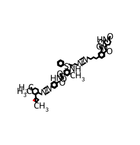 Cc1cc(S(=O)(=O)NC(=O)c2ccc(N3CCN(CC4=C(C56CC(C)(C5)C6)CC(C)(C)CC4)CC3)cc2)ccc1N[C@H](CCN1CCN(CCCCc2ccc3c(c2)C(=O)N(C2CCC(=O)NC2=O)C3=O)CC1)CSc1ccccc1